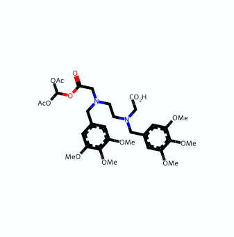 COc1cc(CN(CCN(CC(=O)OC(OC(C)=O)OC(C)=O)Cc2cc(OC)c(OC)c(OC)c2)CC(=O)O)cc(OC)c1OC